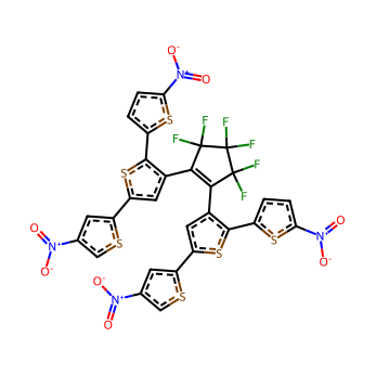 O=[N+]([O-])c1csc(-c2cc(C3=C(c4cc(-c5cc([N+](=O)[O-])cs5)sc4-c4ccc([N+](=O)[O-])s4)C(F)(F)C(F)(F)C3(F)F)c(-c3ccc([N+](=O)[O-])s3)s2)c1